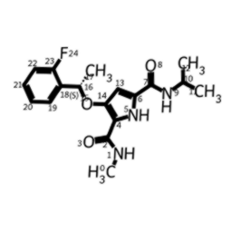 CNC(=O)c1[nH]c(C(=O)NC(C)C)cc1O[C@@H](C)c1ccccc1F